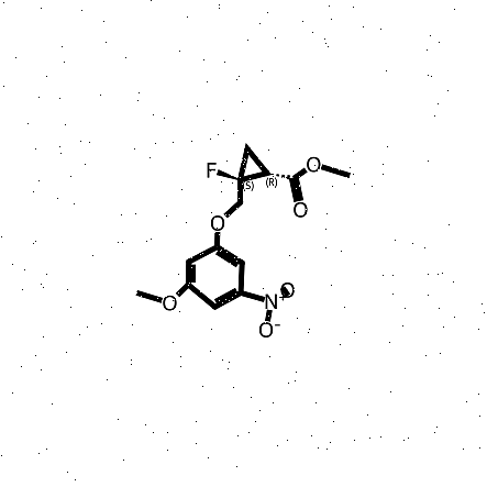 COC(=O)[C@H]1C[C@@]1(F)COc1cc(OC)cc([N+](=O)[O-])c1